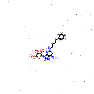 Nc1nc(NCCCCc2ccccc2)nc2c1ncn2[C@@H]1O[C@H](CO)[C@@H](O)[C@H]1O